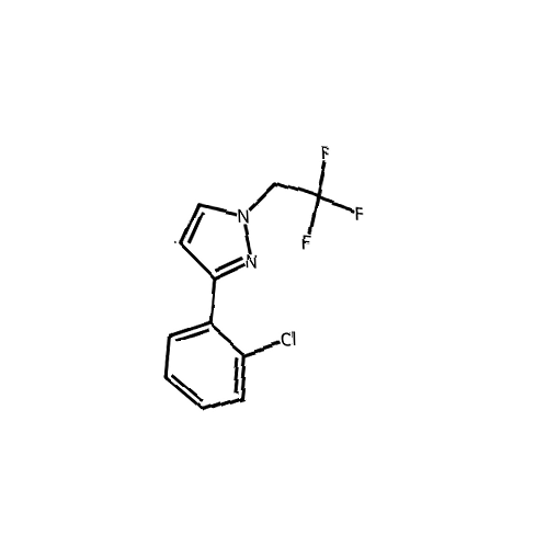 FC(F)(F)Cn1c[c]c(-c2ccccc2Cl)n1